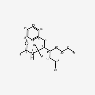 [CH2]C([CH2])(NC(C)=O)C(Cc1ccccc1)C(CCC)CCCC